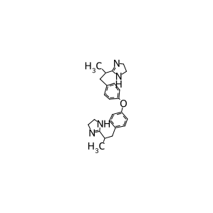 CC(Cc1ccc(Oc2ccc(CC(C)C3=NCCN3)cc2)cc1)C1=NCCN1